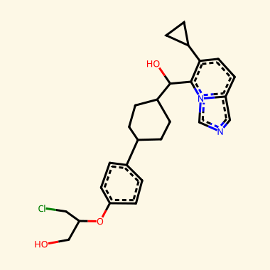 OCC(CCl)Oc1ccc(C2CCC(C(O)c3c(C4CC4)ccc4cncn34)CC2)cc1